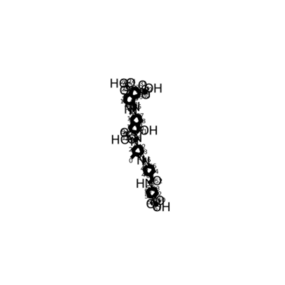 Cc1cc(N=Nc2c(S(=O)(=O)O)cc3cc(-n4nc5ccc6c(S(=O)(=O)O)cc(S(=O)(=O)O)cc6c5n4)ccc3c2O)ccc1N=Nc1ccc(C(=O)Nc2ccc(S(=O)(=O)O)cc2)cc1